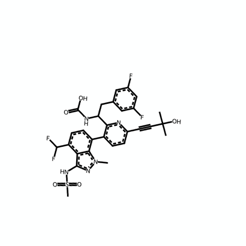 Cn1nc(NS(C)(=O)=O)c2c(C(F)F)ccc(-c3ccc(C#CC(C)(C)O)nc3C(Cc3cc(F)cc(F)c3)NC(=O)O)c21